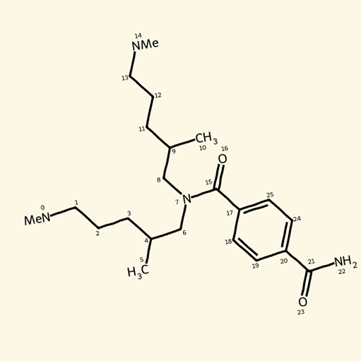 CNCCCC(C)CN(CC(C)CCCNC)C(=O)c1ccc(C(N)=O)cc1